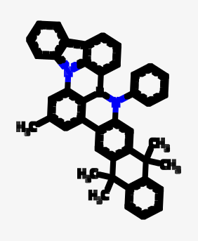 Cc1cc2c3c(c1)-n1c4ccccc4c4cccc(c41)B3N(c1ccccc1)c1cc3c(cc1-2)C(C)(C)c1ccccc1C3(C)C